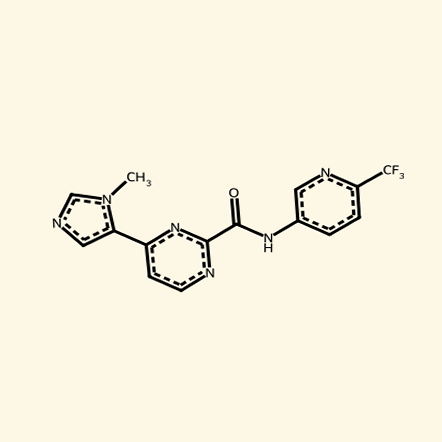 Cn1cncc1-c1ccnc(C(=O)Nc2ccc(C(F)(F)F)nc2)n1